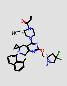 C=CC(=O)N1CCN(c2nc(OC[C@@H]3CC(F)(F)CN3C)nc3c2CC2(CC2)N(c2cccc4cccc(C)c24)C3)C[C@@H]1CC#N